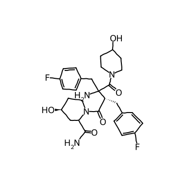 NC(=O)C1C[C@@H](O)CCN1C(=O)[C@@H](Cc1ccc(F)cc1)C(N)(Cc1ccc(F)cc1)C(=O)N1CCC(O)CC1